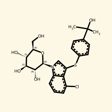 CC(C)(O)c1ccc(Sc2cn([C@@H]3O[C@H](CO)[C@@H](O)[C@H](O)[C@H]3O)c3cccc(Cl)c23)cc1